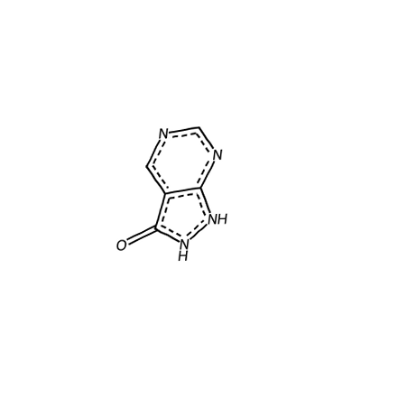 O=c1[nH][nH]c2ncncc12